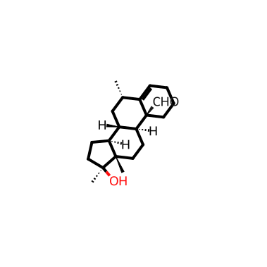 C[C@H]1C[C@@H]2[C@H](CC[C@@]3(C)[C@H]2CC[C@]3(C)O)[C@@]2(C=O)CCCC=C12